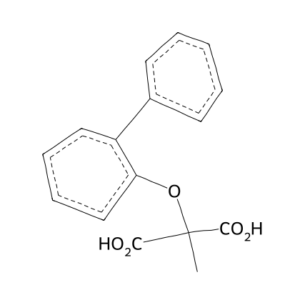 CC(Oc1ccccc1-c1ccccc1)(C(=O)O)C(=O)O